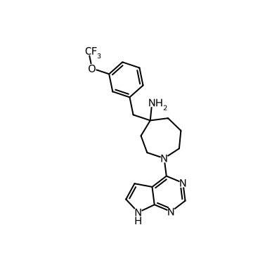 NC1(Cc2cccc(OC(F)(F)F)c2)CCCN(c2ncnc3[nH]ccc23)CC1